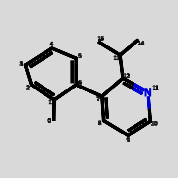 Cc1ccccc1-c1cccnc1C(C)C